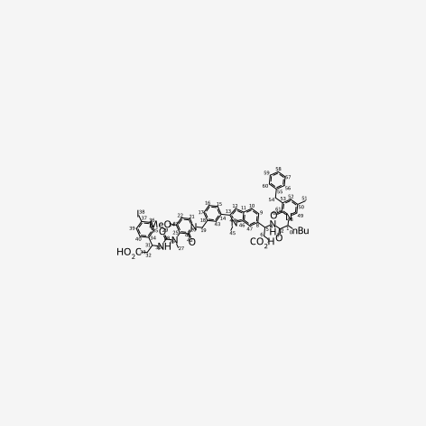 CCCCC(C(=O)NC(CC(=O)O)c1ccc2cc(-c3cccc(Cn4ccc(OC)c(N(C)C(=O)NC(CC(=O)O)c5ccc(I)cc5)c4=O)c3)n(C)c2c1)n1cc(C)cc(Cc2ccccc2)c1=O